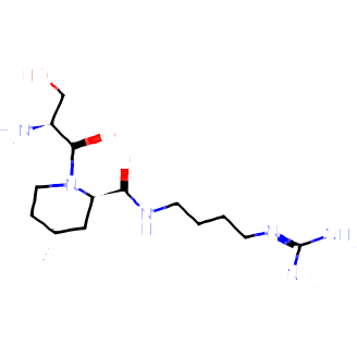 C[C@@H]1CCN(C(=O)[C@@H](N)CO)[C@@H](C(=O)NCCCCN=C(N)N)C1